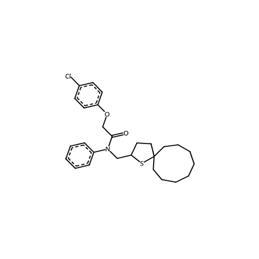 O=C(COc1ccc(Cl)cc1)N(CC1CCC2(CCCCCCCC2)S1)c1ccccc1